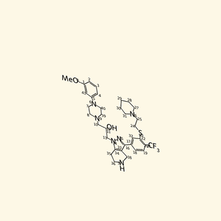 COc1cccc(N2CCN(CC(O)Cn3nc(-c4ccc(C(F)(F)F)c(SCCN5CCCCC5)c4)c4c3CCNC4)CC2)c1